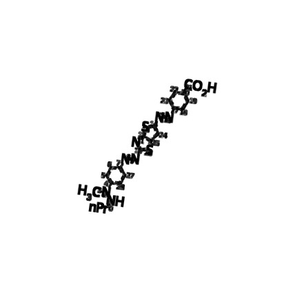 CCCNN(C)c1ccc(N=Nc2nc3sc(N=Nc4ccc(C(=O)O)cc4)cc3s2)cc1